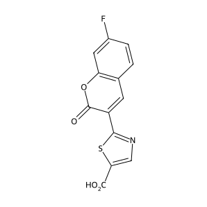 O=C(O)c1cnc(-c2cc3ccc(F)cc3oc2=O)s1